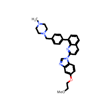 COCCOc1ccc2c(c1)ncn2-c1ccc2cccc(-c3ccc(CN4CCN(C)CC4)cc3)c2n1